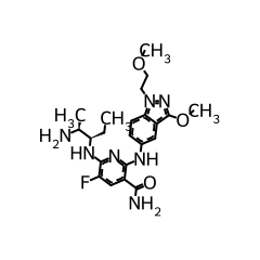 CC[C@@H](Nc1nc(Nc2ccc3c(c2)c(OC)nn3CCOC)c(C(N)=O)cc1F)[C@H](C)N